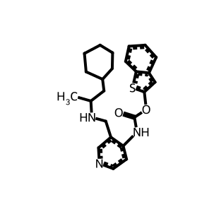 CC(CC1CCCCC1)NCc1cnccc1NC(=O)Oc1cc2ccccc2s1